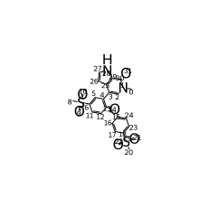 Cn1cc(-c2cc(S(C)(=O)=O)ccc2Oc2ccc(S(C)(=O)=O)cc2)c2cc[nH]c2c1=O